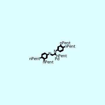 CCCCCC(C=Nc1ccc(CCCCC)c(CCCCC)c1)=Nc1ccc(CCCCC)c(CCCCC)c1.[Pd]